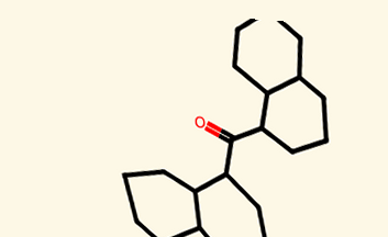 O=C(C1CCCC2CCCCC21)C1CCCC2CCCCC21